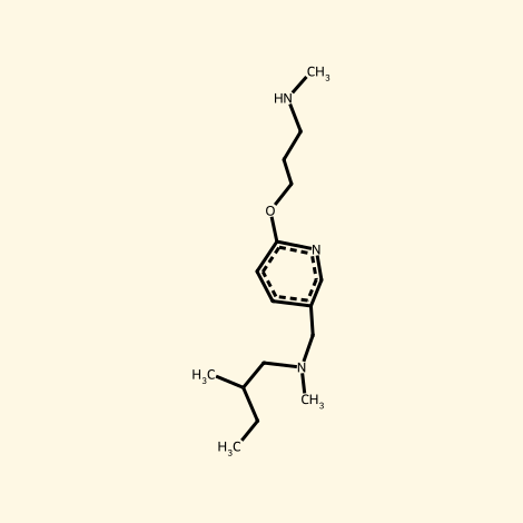 CCC(C)CN(C)Cc1ccc(OCCCNC)nc1